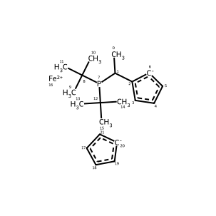 CC(c1ccc[cH-]1)P(C(C)(C)C)C(C)(C)C.[Fe+2].c1cc[cH-]c1